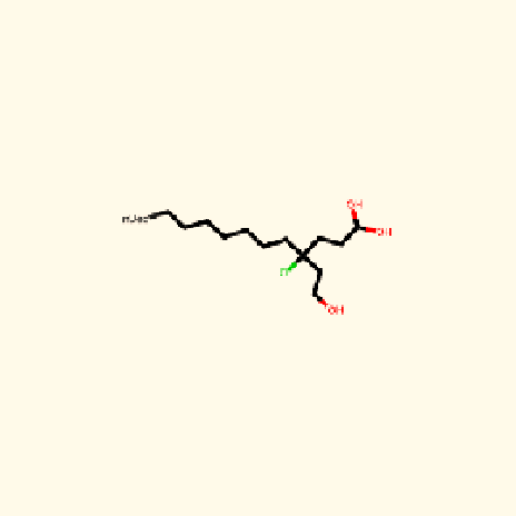 CCCCCCCCCCCCCCCCCC(Cl)(CCO)CCC(O)O